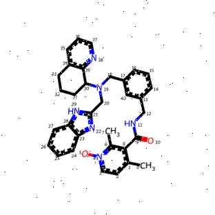 Cc1cc[n+]([O-])c(C)c1C(=O)NCc1cccc(CN(Cc2nc3ccccc3[nH]2)C2CCCc3cccnc32)c1